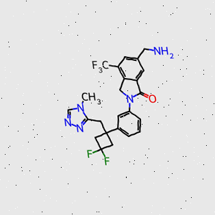 Cn1cnnc1CC1(c2cccc(N3Cc4c(cc(CN)cc4C(F)(F)F)C3=O)c2)CC(F)(F)C1